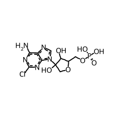 Nc1nc(Cl)nc2c1ncn2C1(O)COC(COP(=O)(O)O)C1O